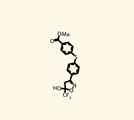 COC(=O)c1ccc(Sc2ccc(C3=NOC(O)(C(F)(F)F)C3)cc2)cc1